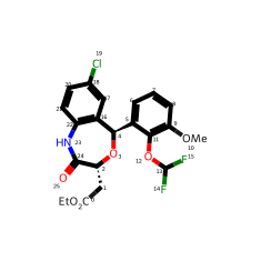 CCOC(=O)C[C@H]1O[C@H](c2cccc(OC)c2OC(F)F)c2cc(Cl)ccc2NC1=O